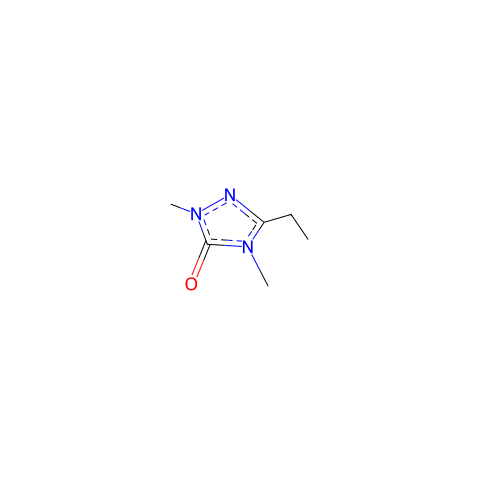 CCc1nn(C)c(=O)n1C